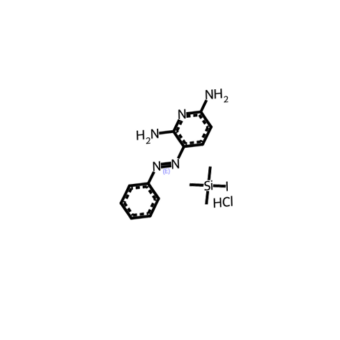 C[Si](C)(C)I.Cl.Nc1ccc(/N=N/c2ccccc2)c(N)n1